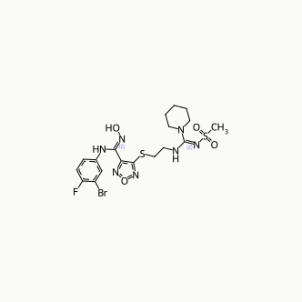 CS(=O)(=O)/N=C(/NCCSc1nonc1/C(=N/O)Nc1ccc(F)c(Br)c1)N1CCCCC1